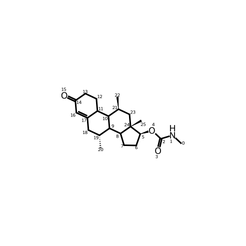 CNC(=O)O[C@H]1CCC2C3C(C4CCC(=O)C=C4C[C@H]3C)[C@@H](C)C[C@@]21C